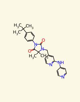 CC(C)(C)c1ccc(N2C(=O)N(Cc3ccnc(Nc4ccncc4)c3)C(C)(C)C2=O)cc1